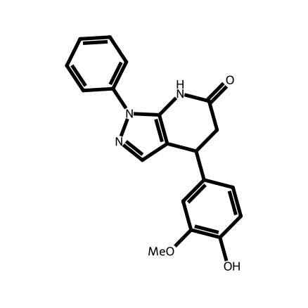 COc1cc(C2CC(=O)Nc3c2cnn3-c2ccccc2)ccc1O